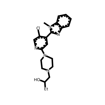 CCC(O)CN1CCN(c2cc(-c3nc4ccccc4n3C)c(Cl)cn2)CC1